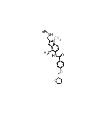 CCCNCc1cc2c(C)c(NC(=O)c3ccc(OC[C@@H]4CCCO4)cc3)ccc2n1C